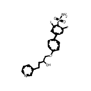 NS(=O)(=O)c1c(F)cc(-c2ccc(OCC(O)CCc3cccnc3)cc2)cc1F